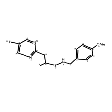 COc1ccc(CNSC(C)Cc2ncc(F)cn2)cc1